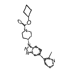 Cc1ncccc1-c1ccc2c(c1)nnn2C1CCN(C(=O)OC2CCC2)CC1